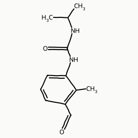 Cc1c(C=O)cccc1NC(=O)NC(C)C